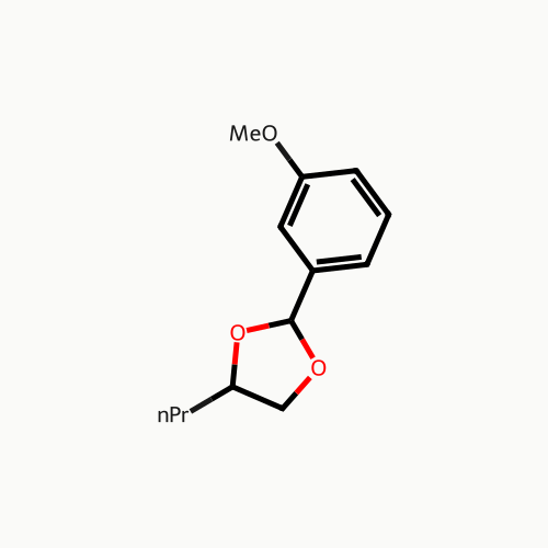 CCCC1COC(c2cccc(OC)c2)O1